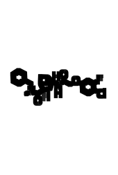 CN(Cc1ccccc1)C(=O)[C@@H]1C[C@H](NC(=O)COc2ccc(Cl)c(F)c2)C2CC1C2